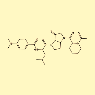 CC(=O)N1CCCCC1C(=O)N1CC(=O)C2C1CCN2C(=O)C(CC(C)C)NC(=O)c1ccc(N(C)C)cc1